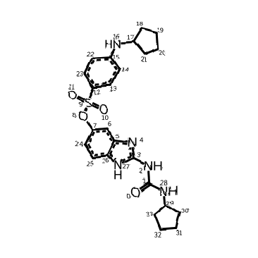 O=C(Nc1nc2cc(OS(=O)(=O)c3ccc(NC4CCCC4)cc3)ccc2[nH]1)NC1CCCC1